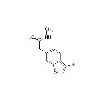 CN[C@H](C)Cc1ccc2c(F)coc2c1